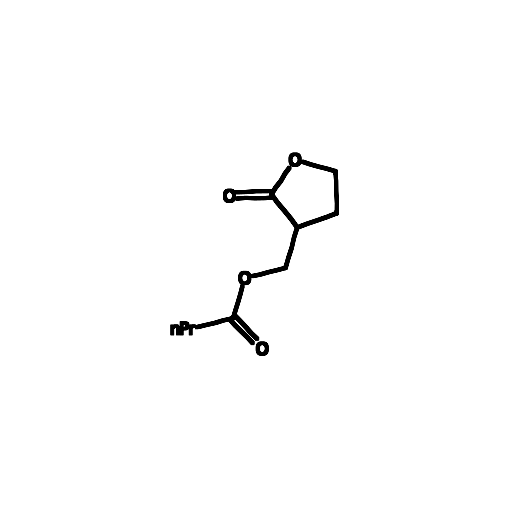 CCCC(=O)OCC1CCOC1=O